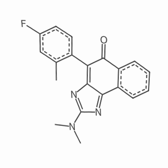 Cc1cc(F)ccc1C1=C2N=C(N(C)C)N=C2c2ccccc2C1=O